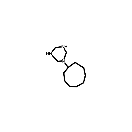 C1CCCCC(N2CNCNC2)CCC1